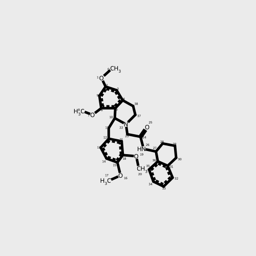 COc1cc2c(c(OC)c1)C(Cc1ccc(OC)c(OC)c1)N(CC(=O)NC1CCCc3ccccc31)CC2